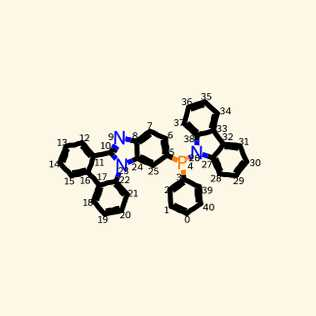 c1ccc(P(c2ccc3nc4c5ccccc5c5ccccc5n4c3c2)n2c3ccccc3c3ccccc32)cc1